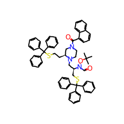 CC(C)(C)ON(C=O)[C@@H](CSC(c1ccccc1)(c1ccccc1)c1ccccc1)CN1CCN(C(=O)c2cccc3ccccc23)C[C@@H]1CCSC(c1ccccc1)(c1ccccc1)c1ccccc1